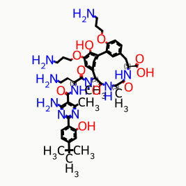 Cc1nc(-c2ccc(C(C)(C)C)cc2O)nc(N)c1C(=O)N[C@@H](CCN)C(=O)N(C)[C@@H]1C(=O)N[C@@H](C)C(=O)N[C@H](C(=O)O)Cc2ccc(OCCCN)c(c2)-c2cc1cc(OCCCN)c2O